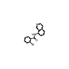 O=C(Nc1cccc2ccncc12)c1ccccc1Br